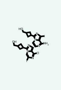 Nc1nccn2c(C3CC(CO)C3)nc(I)c12.OCC1CC(c2ncc3c(Cl)nc(I)cn23)C1